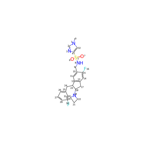 Cn1cnc(S(=O)(=O)NCc2cc3c(cc2F)CC(N2CCC2)C3Cc2cccc(F)c2)c1